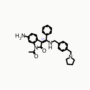 CC(=O)N1C(=O)/C(=C(\NCc2ccc(CN3CCCC3)cc2)c2ccccc2)c2ccc(N)cc21